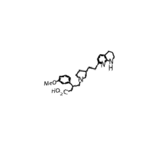 COc1cccc(C(CC(=O)O)CN2CCC(CCc3ccc4c(n3)NCCC4)C2)c1